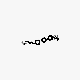 CCCCC[C@H]1CC[C@H](C2CCC(c3ccc(OC(F)(F)F)cc3)CC2)CC1